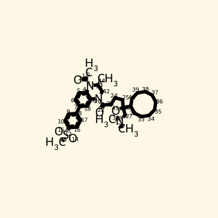 CC(=O)N1c2ccc(-c3ccc(S(C)(=O)=O)cc3)cc2N(C(=O)C2CCC(CN(C)C)(C3CCCCCCCCC3)O2)C[C@@H]1C